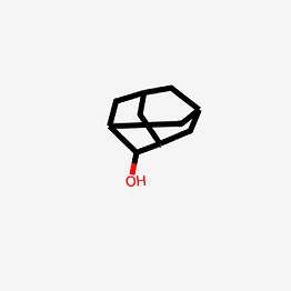 OC1[C]2CC3CC(C2)CC1C3